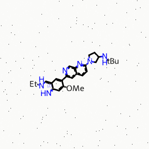 CCN/C=C1/C=C(c2cc3ccc(N4CCC(NC(C)(C)C)C4)nc3cn2)C(OC)=CC1=N